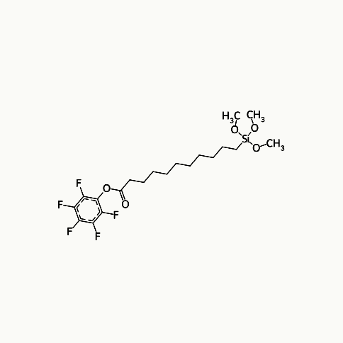 CO[Si](CCCCCCCCCCC(=O)Oc1c(F)c(F)c(F)c(F)c1F)(OC)OC